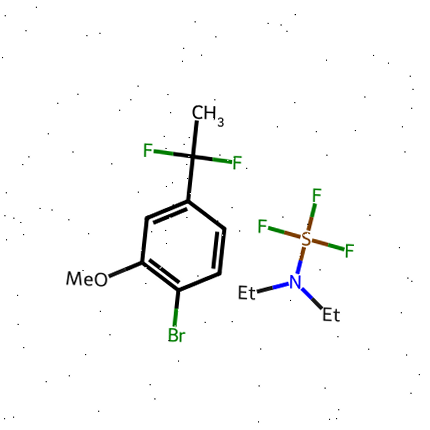 CCN(CC)S(F)(F)F.COc1cc(C(C)(F)F)ccc1Br